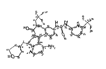 Nc1ncnn2c(CN3CCOCC3)c(C(=O)NCC(F)(F)F)c(-c3ccc([AsH]C(=O)Nc4cccc(C(F)(F)F)n4)cc3)c12